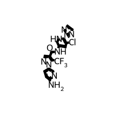 Nc1ccc(-n2ncc(C(=O)NC3=CC(Cl)=C(n4nccn4)NC3)c2C(F)(F)F)cn1